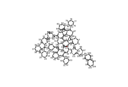 C1=CN(c2cccc3oc4c(ccc5c(N(c6ccc7c(c6)-c6ccccc6C76c7ccccc7-c7ccccc76)c6c7ccccc7c(-c7ccccc7)c7ccccc67)cc6c(N7C=NC=NC7)cc7oc8c(-c9ccccc9-c9ccccc9)cccc8c7c6c54)c23)C2C=CC(c3ccc4ccccc4c3)=CC2=C1